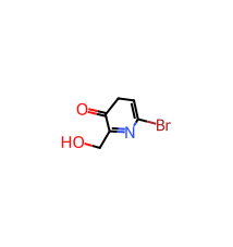 O=C1CC=C(Br)N=C1CO